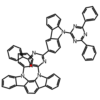 c1ccc(-c2nc(-c3ccccc3)nc(-n3c4ccccc4c4cc(-c5nc(-c6ccccc6)nc(-n6c7ccccc7c7ccc8c9ccccc9n(-c9ccccc9)c8c76)n5)ccc43)n2)cc1